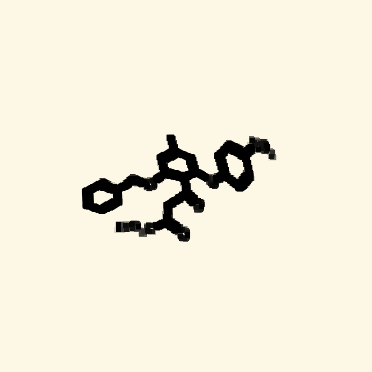 CCOC(=O)C(=O)CC(=O)c1c(OCc2ccccc2)cc(C)cc1Oc1ccc([N+](=O)[O-])cc1